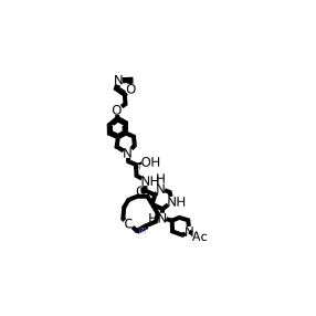 CC(=O)N1CCC(NC2NCNC(C(=O)NC[C@H](O)CN3CCc4cc(OCc5cnco5)ccc4C3)C23CC/C=C\CCCCCC3)CC1